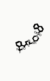 O=C(c1cnc(NC2CCN(S(=O)(=O)c3cccc4ccccc34)CC2)s1)c1ccccc1C(F)(F)F